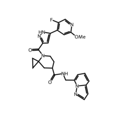 COc1cc(-c2cc(C(=O)N3CCC(C(=O)NCc4cccc5ccnn45)CC34CC4)n[nH]2)c(F)cn1